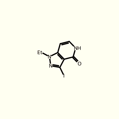 CCn1nc(I)c2c(=O)[nH]ccc21